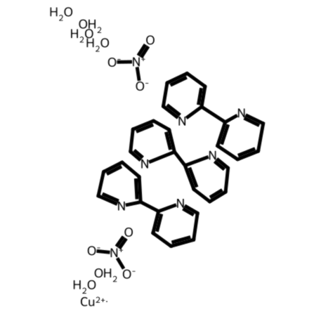 O.O.O.O.O.O.O=[N+]([O-])[O-].O=[N+]([O-])[O-].[Cu+2].c1ccc(-c2ccccn2)nc1.c1ccc(-c2ccccn2)nc1.c1ccc(-c2ccccn2)nc1